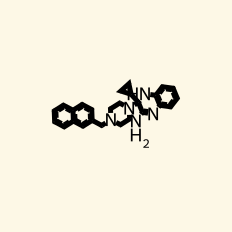 NC1=Nc2ccccc2NC1(C1CC1)N1CCN(Cc2ccc3ccccc3c2)CC1